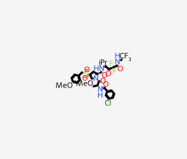 COCC(NC(=O)c1cccc(Cl)c1)C(=O)N1C[C@H](S(=O)(=O)Cc2ccc(OC)cc2)C[C@H]1C(=O)NC(C(=O)C(F)(F)C(=O)NCC(F)(F)F)C(C)C